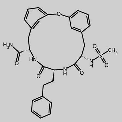 CS(=O)(=O)N[C@H]1Cc2cccc(c2)Oc2cccc(c2)C[C@@H](C(N)=O)NC(=O)[C@H](CCc2ccccc2)NC1=O